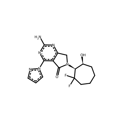 Nc1nc2c(c(-n3cccn3)n1)C(=O)N([C@H]1[C@@H](O)CCCCC1(F)F)C2